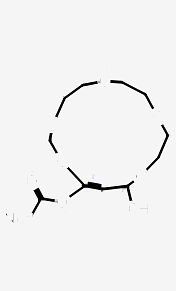 CCCCCCCCCC(=O)O/C1=C/C(C)CCCCCCCCCCCC1